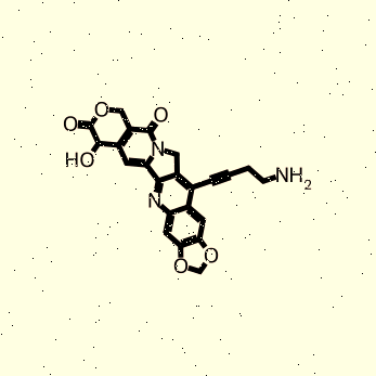 NCCC#Cc1c2c(nc3cc4c(cc13)OCO4)-c1cc3c(c(=O)n1C2)COC(=O)C3O